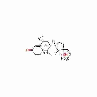 CC[C@]12CC[C@H]3[C@@H](CC4(CC4)C4=CC(=O)CC[C@@H]43)[C@@H]1CC[C@@]2(O)/C=C\C(=O)O